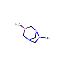 CN1CN2CN1CP(C)C2